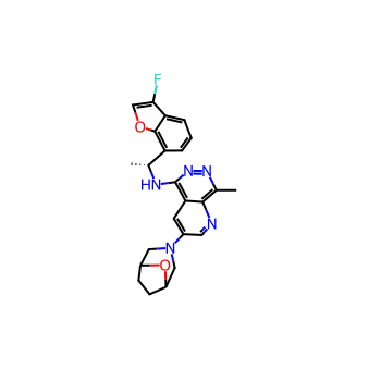 Cc1nnc(N[C@H](C)c2cccc3c(F)coc23)c2cc(N3CC4CCC(C3)O4)cnc12